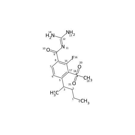 CCCC(C)c1ccc(C(=O)N=C(N)N)c(F)c1S(C)(=O)=O